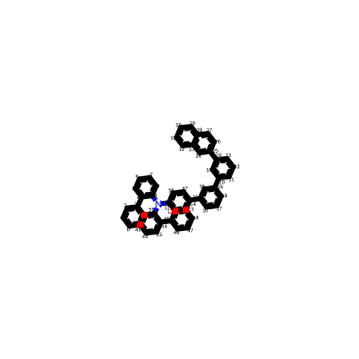 c1ccc(-c2ccccc2N(c2ccc(-c3cccc(-c4cccc(-c5ccc6ccccc6c5)c4)c3)cc2)c2ccccc2-c2ccccc2)cc1